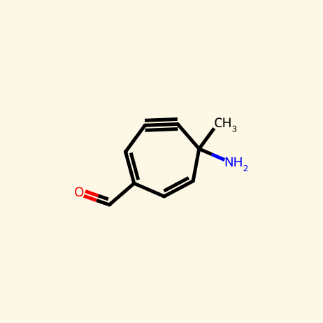 CC1(N)C#CC=C(C=O)C=C1